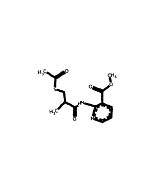 COC(=O)c1cccnc1NC(=O)C(C)CSC(C)=O